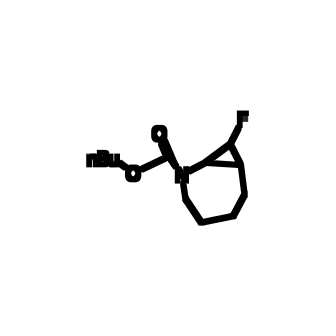 CCCCOC(=O)N1CCCCC2C(F)C21